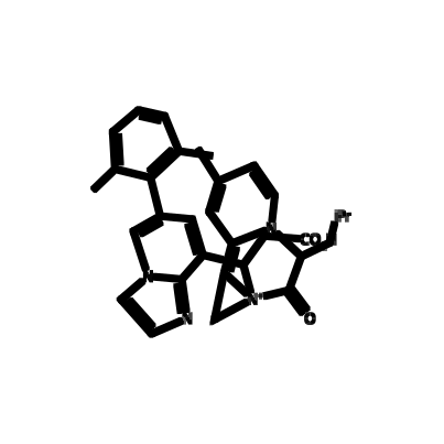 CC1=CC2=C3C[N+]3(C(CC(=O)O)c3cc(-c4c(C)cccc4C)cn4ccnc34)C(=O)C(CC(C)C)N2C=C1